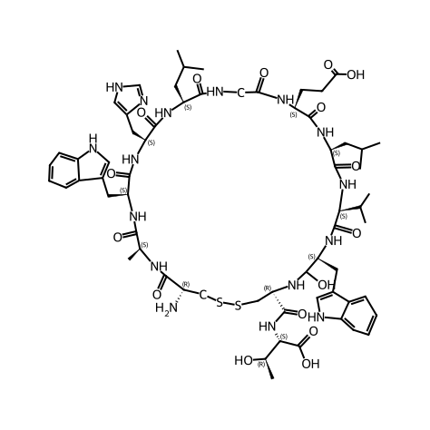 CC(C)C[C@@H]1NC(=O)[C@H](Cc2c[nH]cn2)NC(=O)[C@H](Cc2c[nH]c3ccccc23)NC(=O)[C@H](C)NC(=O)[C@@H](N)CSSC[C@@H](C(=O)N[C@H](C(=O)O)[C@@H](C)O)NC(O)[C@H](Cc2c[nH]c3ccccc23)NC(=O)[C@H](C(C)C)NC(=O)[C@H](CC(C)C)NC(=O)[C@H](CCC(=O)O)NC(=O)CNC1=O